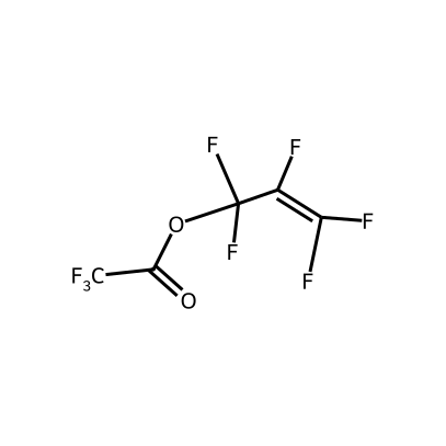 O=C(OC(F)(F)C(F)=C(F)F)C(F)(F)F